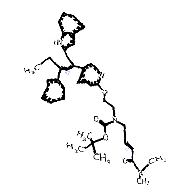 CC/C(=C(/c1ccc(OCCN(C/C=C/C(=O)N(C)C)C(=O)OC(C)(C)C)nc1)c1cc2ccccc2[nH]1)c1ccccc1